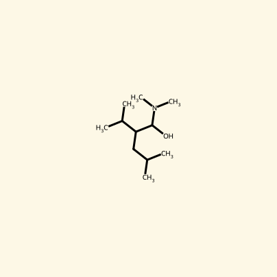 CC(C)CC(C(C)C)C(O)N(C)C